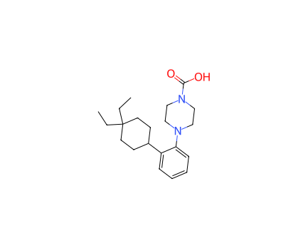 CCC1(CC)CCC(c2ccccc2N2CCN(C(=O)O)CC2)CC1